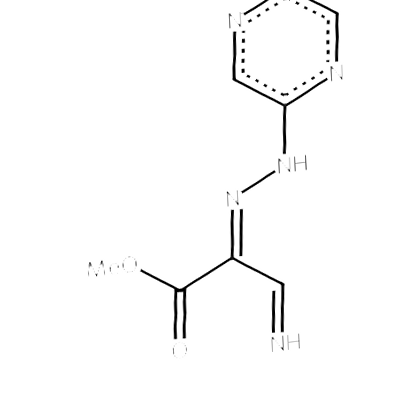 COC(=O)/C(C=N)=N/Nc1cnccn1